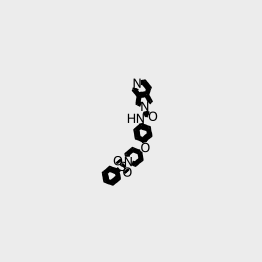 O=C(Nc1ccc(OC2CCN(S(=O)(=O)c3ccccc3)CC2)cc1)N1Cc2ccncc2C1